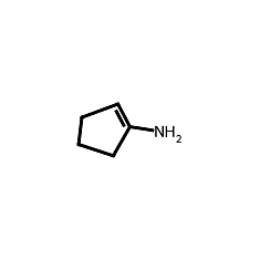 NC1=CCCC1